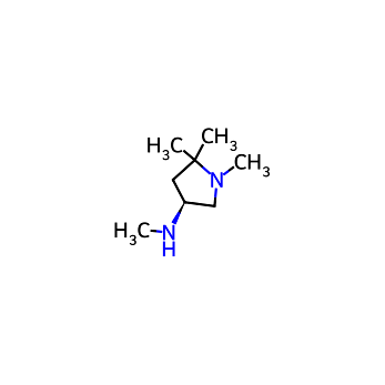 CN[C@@H]1CN(C)C(C)(C)C1